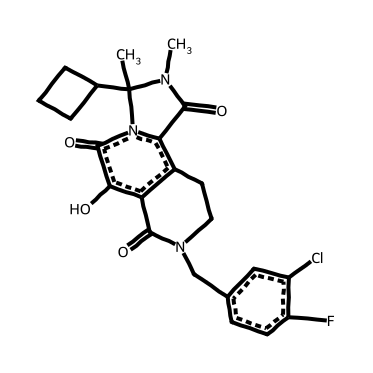 CN1C(=O)c2c3c(c(O)c(=O)n2C1(C)C1CCC1)C(=O)N(Cc1ccc(F)c(Cl)c1)CC3